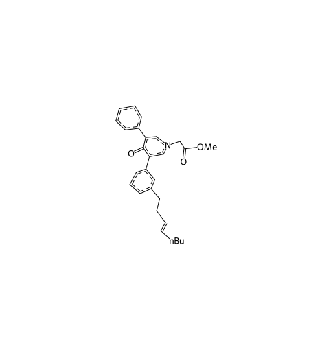 CCCCC=CCCc1cccc(-c2cn(CC(=O)OC)cc(-c3ccccc3)c2=O)c1